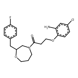 Nc1cc(Cl)ccc1OCCC(=O)N1CCCOC(Cc2ccc(F)cc2)C1